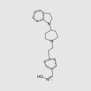 O/N=C\c1ccc(CCN2CCC(N3CCc4ccccc43)CC2)cc1